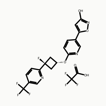 O=C(O)C(F)(F)F.Oc1cc(-c2ccc(O[C@H]3C[C@@](F)(c4ccc(C(F)(F)F)cn4)C3)nc2)on1